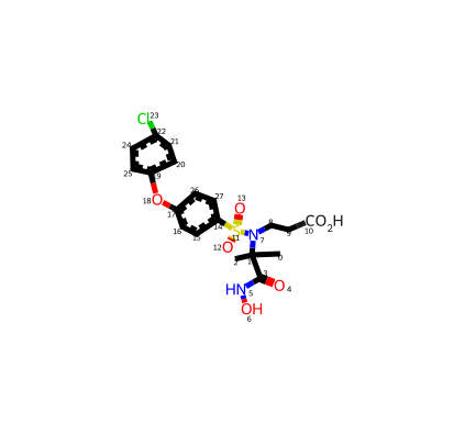 CC(C)(C(=O)NO)N(CCC(=O)O)S(=O)(=O)c1ccc(Oc2ccc(Cl)cc2)cc1